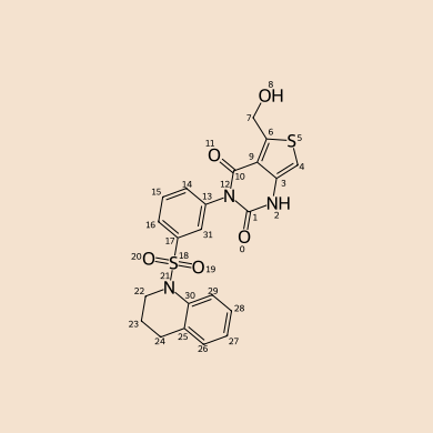 O=c1[nH]c2csc(CO)c2c(=O)n1-c1cccc(S(=O)(=O)N2CCCc3ccccc32)c1